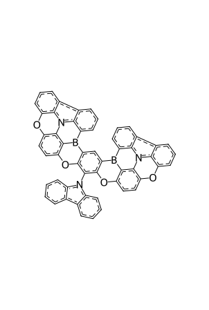 c1ccc2c(c1)c1ccccc1n2-c1c2c(cc3c1Oc1ccc4c5c1B3c1cccc3c6cccc(c6n-5c13)O4)B1c3c(ccc4c3-n3c5c(cccc5c5cccc1c53)O4)O2